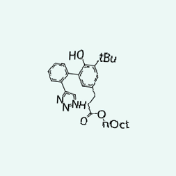 CCCCCCCCOC(=O)CCc1cc(-c2ccccc2-c2c[nH]nn2)c(O)c(C(C)(C)C)c1